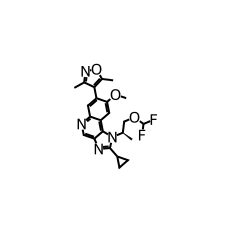 COc1cc2c(cc1-c1c(C)noc1C)ncc1nc(C3CC3)n([C@H](C)COC(F)F)c12